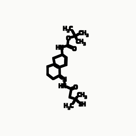 CC(C)(S)CC(=O)NN=C1CCCC2=C1C=CC(NC(=O)OC(C)(C)C)C2